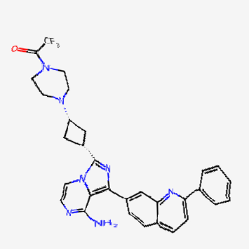 Nc1nccn2c1c(-c1ccc3ccc(-c4ccccc4)nc3c1)nc2[C@H]1C[C@@H](N2CCN(C(=O)C(F)(F)F)CC2)C1